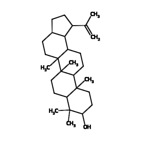 C=C(C)C1CCC2CCC3(C)C(CCC4C5(C)CCC(O)C(C)(C)C5CCC43C)C21